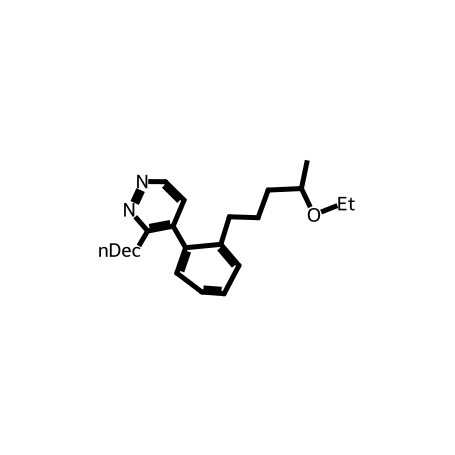 CCCCCCCCCCc1nnccc1-c1ccccc1CCCC(C)OCC